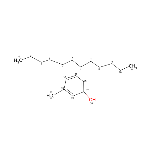 CCCCCCCCCCCC.Cc1cccc(O)c1